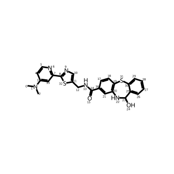 CN(C)c1ccnc(-c2ncc(CNC(=O)c3ccc4c(c3)NC(O)c3ccccc3S4)s2)c1